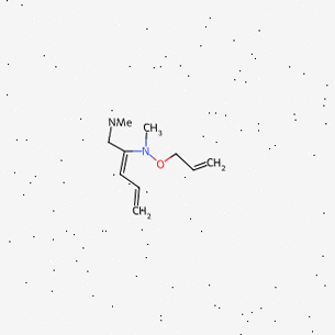 C=C/C=C(/CNC)N(C)OCC=C